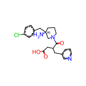 N[C@@]1(Cc2ccc(Cl)cc2)CCCN(C(=O)C(CC(=O)O)Cc2cccnc2)C1